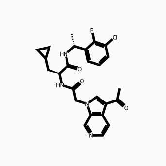 CC(=O)c1cn(CC(=O)N[C@@H](CC2CC2)C(=O)N[C@H](C)c2cccc(Cl)c2F)c2cnccc12